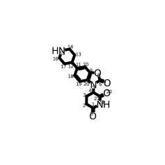 O=C1CCC(n2c(=O)oc3cc(C4CCNCC4)ccc32)C(=O)N1